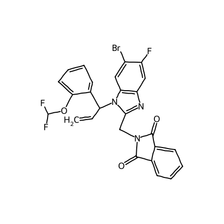 C=CC(c1ccccc1OC(F)F)n1c(CN2C(=O)c3ccccc3C2=O)nc2cc(F)c(Br)cc21